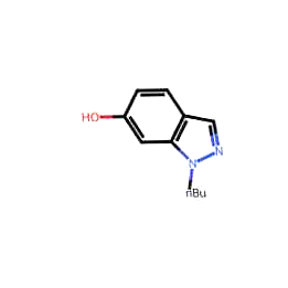 CCCCn1ncc2ccc(O)cc21